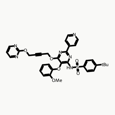 COc1ccccc1Oc1c(NS(=O)(=O)c2ccc(C(C)(C)C)cc2)nc(-c2ccncc2)nc1OCC#CCOc1ncccn1